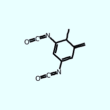 C=C1C=C(N=C=O)C=C(N=C=O)C1C